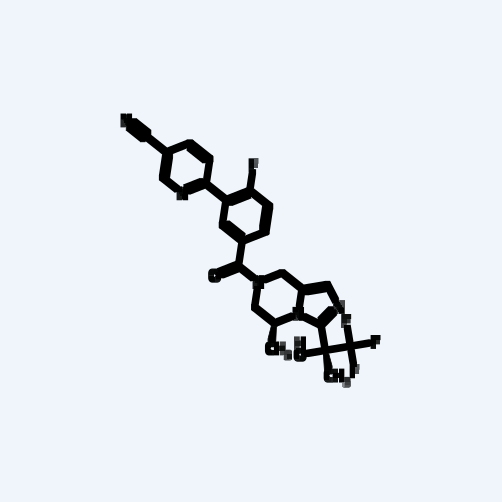 C[C@H]1CN(C(=O)c2ccc(F)c(-c3ccc(C#N)cn3)c2)Cc2cnc([C@@](C)(O)C(F)(F)F)n21